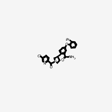 CC(C)c1ccccc1Oc1ccc(C2CCN(C(=O)c3ccc(Cl)cn3)C2)c(C(N)=O)c1